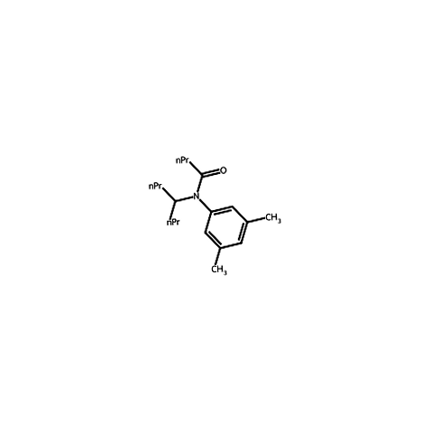 CCCC(=O)N(c1cc(C)cc(C)c1)C(CCC)CCC